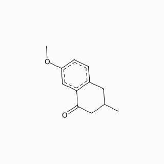 COc1ccc2c(c1)C(=O)CC(C)C2